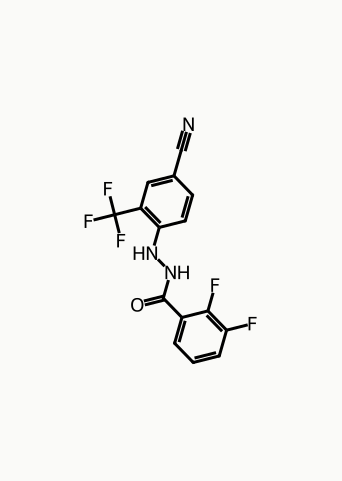 N#Cc1ccc(NNC(=O)c2cccc(F)c2F)c(C(F)(F)F)c1